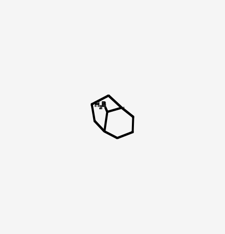 BC1[C]2CCCC1CCC2